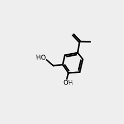 C=C(C)c1ccc(O)c(CO)c1